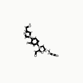 [N-]=[N+]=NC[C@H]1CN(c2ccc(-n3cnc(C=O)c3)c(F)c2)C(C=O)O1